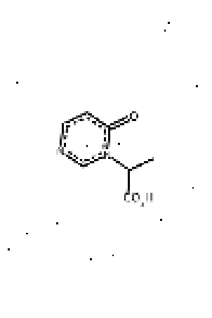 CC(C(=O)O)n1cnccc1=O